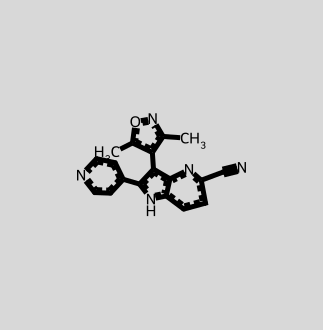 Cc1noc(C)c1-c1c(-c2ccncc2)[nH]c2ccc(C#N)nc12